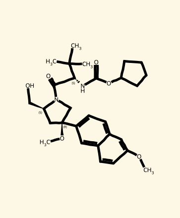 COc1ccc2cc([C@]3(OC)C[C@@H](CO)N(C(=O)[C@@H](NC(=O)OC4CCCC4)C(C)(C)C)C3)ccc2c1